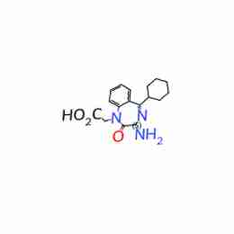 N[C@H]1N=C(C2CCCCC2)c2ccccc2N(CC(=O)O)C1=O